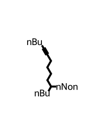 [CH2]CCCC#CCCCCC(CCCC)CCCCCCCC[CH2]